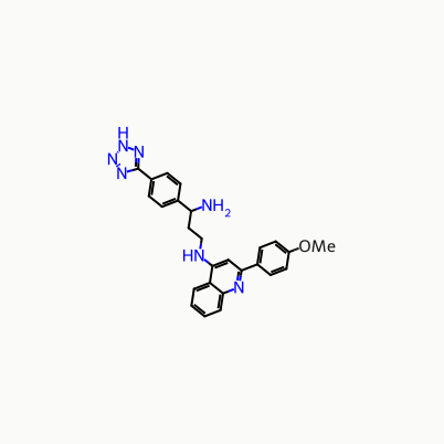 COc1ccc(-c2cc(NCCC(N)c3ccc(-c4nn[nH]n4)cc3)c3ccccc3n2)cc1